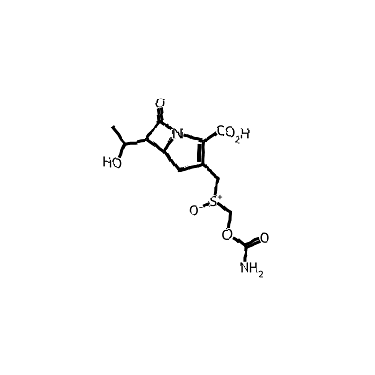 CC(O)C1C(=O)N2C(C(=O)O)=C(C[S+]([O-])COC(N)=O)CC12